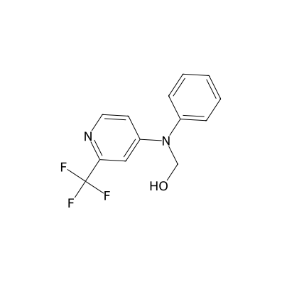 OCN(c1ccccc1)c1ccnc(C(F)(F)F)c1